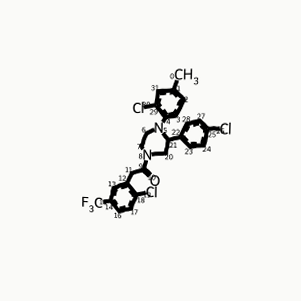 Cc1ccc(N2CCN(C(=O)Cc3cc(C(F)(F)F)ccc3Cl)CC2c2ccc(Cl)cc2)c(Cl)c1